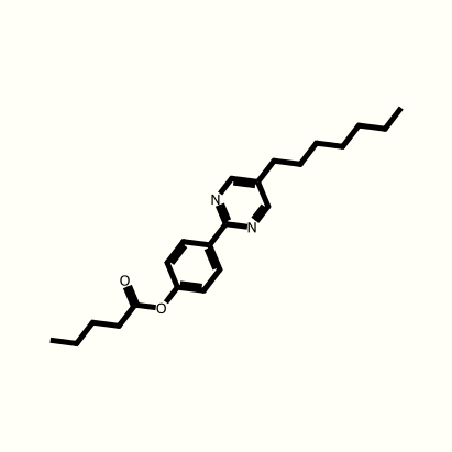 CCCCCCCc1cnc(-c2ccc(OC(=O)CCCC)cc2)nc1